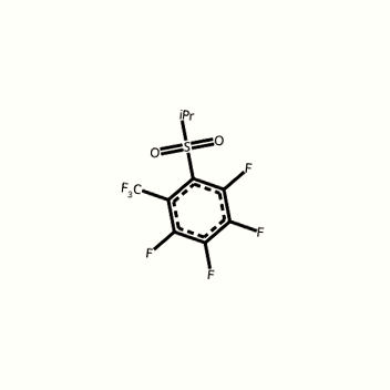 CC(C)S(=O)(=O)c1c(F)c(F)c(F)c(F)c1C(F)(F)F